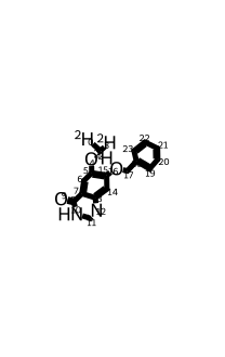 [2H]C([2H])([2H])Oc1cc2c(=O)[nH]cnc2cc1OCc1ccccc1